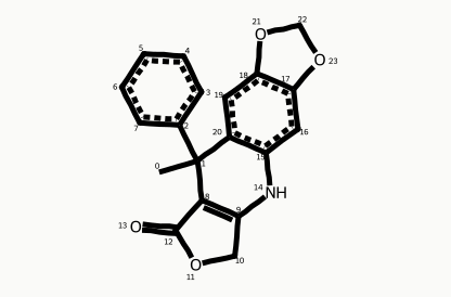 CC1(c2ccccc2)C2=C(COC2=O)Nc2cc3c(cc21)OCO3